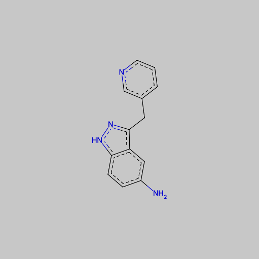 Nc1ccc2[nH]nc(Cc3cccnc3)c2c1